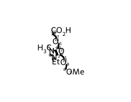 CCN1C=CN(C)C1.COCCOCCOCCOCCC(=O)O